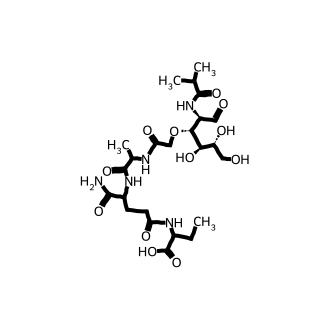 CCC(NC(=O)CCC(NC(=O)C(C)NC(=O)CO[C@@H]([C@H](O)[C@H](O)CO)[C@H](C=O)NC(=O)C(C)C)C(N)=O)C(=O)O